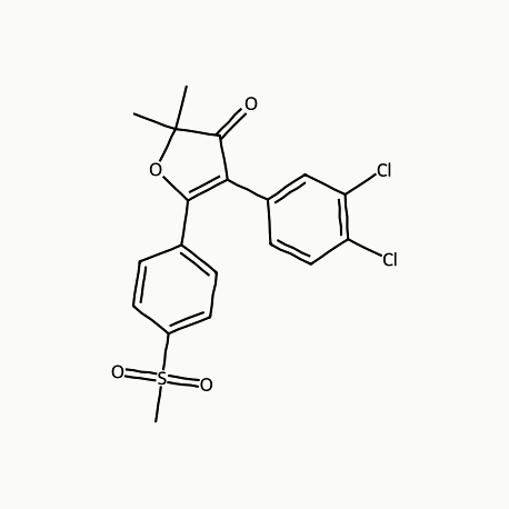 CC1(C)OC(c2ccc(S(C)(=O)=O)cc2)=C(c2ccc(Cl)c(Cl)c2)C1=O